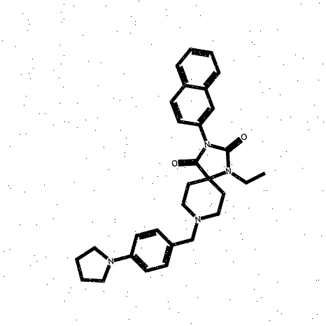 CCN1C(=O)N(c2ccc3ccccc3c2)C(=O)C12CCN(Cc1ccc(N3CCCC3)cc1)CC2